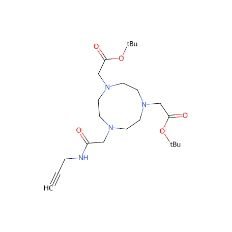 C#CCNC(=O)CN1CCN(CC(=O)OC(C)(C)C)CCN(CC(=O)OC(C)(C)C)CC1